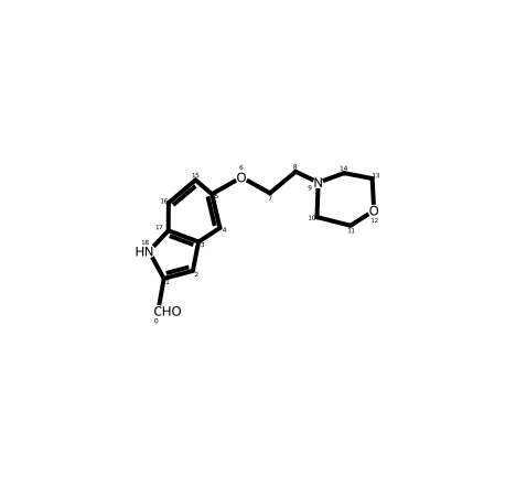 O=Cc1cc2cc(OCCN3CCOCC3)ccc2[nH]1